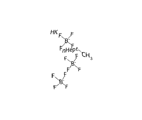 CCCCCCCC.F[B-](F)(F)F.F[B-](F)(F)F.F[B-](F)(F)F.[KH]